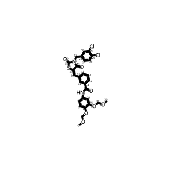 COCOc1ccc(NC(=O)c2cccc(/C=C3/SC(=O)N(Cc4ccc(Cl)c(Cl)c4)C3=O)c2)cc1OCOC